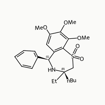 CCCC[C@]1(CC)CS(=O)(=O)c2c(cc(OC)c(OC)c2OC)[C@H](c2ccccc2)N1